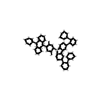 Cc1cc(-n2c3ccc(-c4ccccc4-c4ccccc4)cc3c3cc(-c4ccccc4-c4ccccc4)ccc32)c(C)cc1-c1c2ccccc2c(-c2ccccc2)c2ccccc12